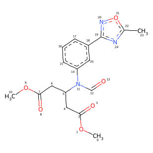 COC(=O)CC(CC(=O)OC)N(C=O)c1cccc(-c2noc(C)n2)c1